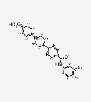 Cc1ccc(NC(=O)c2ccc(N3CCN(c4ccc(C(=O)O)cc4)CC3)nc2)cc1I